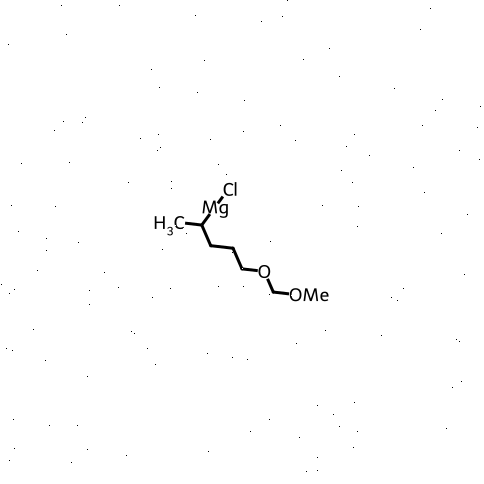 COCOCCC[CH](C)[Mg][Cl]